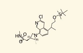 CNS(=O)(=O)C[C@H]1CN(c2ccc(C(C)CCO[Si](C)(C)C(C)(C)C)c3cc(Cl)ncc23)[C@@H]1C